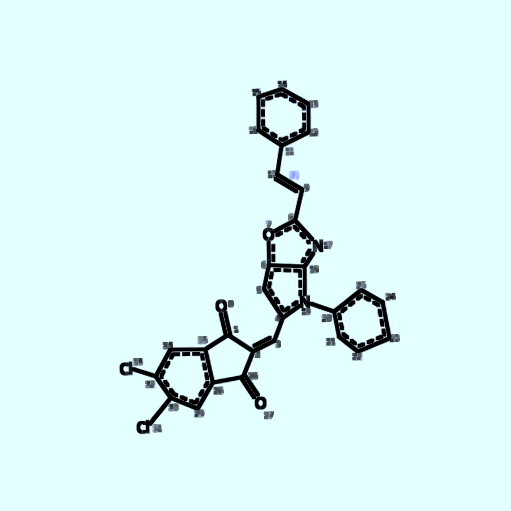 O=C1C(=Cc2cc3oc(/C=C/c4ccccc4)nc3n2-c2ccccc2)C(=O)c2cc(Cl)c(Cl)cc21